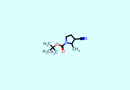 CC1C(C#N)CCN1C(=O)OC(C)(C)C